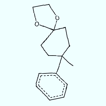 CC1(c2ccccc2)CCC2(CC1)OCCO2